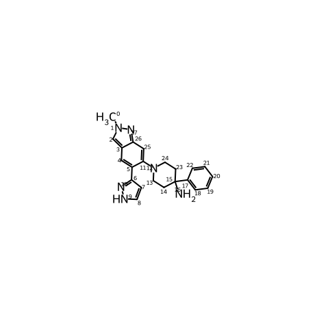 Cn1cc2cc(-c3cc[nH]n3)c(N3CCC(N)(c4ccccc4)CC3)cc2n1